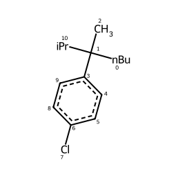 CCCCC(C)(c1ccc(Cl)cc1)C(C)C